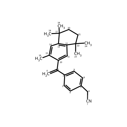 C=C(c1ccc(CC#N)cc1)c1cc2c(cc1C)C(C)(C)CCC2(C)C